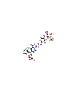 CON=C(c1ccccc1)c1cnc2c(ccn2CCOc2ccc(CC(OCC(F)(F)F)C(=O)O)cc2)c1Cl